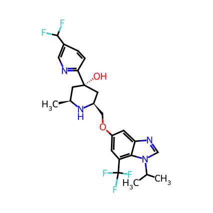 CC(C)n1cnc2cc(OC[C@@H]3C[C@](O)(c4ccc(C(F)F)cn4)C[C@H](C)N3)cc(C(F)(F)F)c21